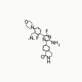 CN(C)Cc1c(N2CCOCC2)ccc(-c2nc(-c3ccc4c(c3)CCNC4=O)c(N)nc2F)c1F